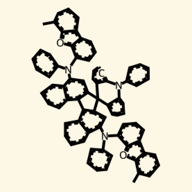 Cc1cccc2c1oc1c(N(c3ccccc3)c3cc4c(c5ccccc35)-c3c(cc(N(c5ccccc5)c5cccc6c5oc5c(C)cccc56)c5ccccc35)C43c4ccccc4N(c4ccccc4)c4ccccc43)cccc12